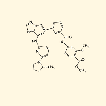 COC(=O)c1ccc(NC(=O)c2cccc(-c3cc(Nc4cccc(N5CCCC5C)n4)c4ncnn4c3)c2)cc1OC